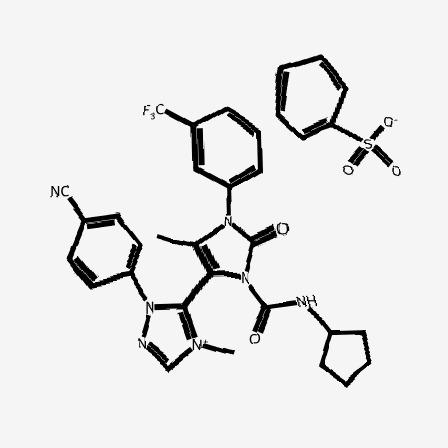 Cc1c(-c2n(-c3ccc(C#N)cc3)nc[n+]2C)n(C(=O)NC2CCCC2)c(=O)n1-c1cccc(C(F)(F)F)c1.O=S(=O)([O-])c1ccccc1